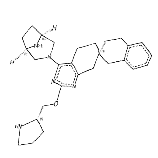 c1ccc2c(c1)CC[C@]1(CCc3c(nc(OC[C@@H]4CCCN4)nc3N3C[C@H]4CC[C@@H](C3)N4)C1)C2